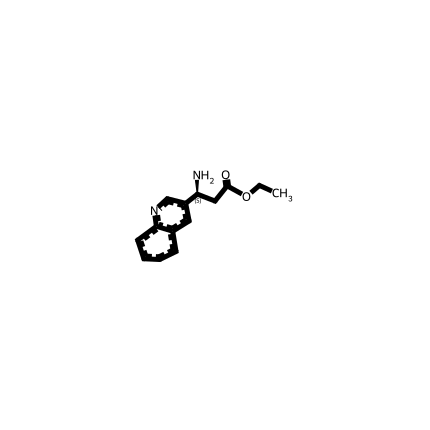 CCOC(=O)C[C@H](N)c1cnc2ccccc2c1